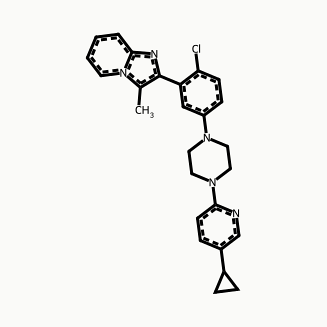 Cc1c(-c2cc(N3CCN(c4ccc(C5CC5)cn4)CC3)ccc2Cl)nc2ccccn12